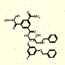 CCCN(CCC)C(=O)c1cc(C(N)=O)cc(C(=O)N[C@@H](Cc2cc(F)cc(OCc3ccccc3)c2)[C@H](O)CNCc2ccccc2)c1